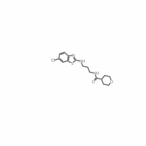 O=C(NCCCNc1nc2ccc(Cl)cc2s1)C1CCOCC1